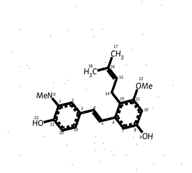 CNc1cc(/C=C/c2cc(O)cc(OC)c2CC=C(C)C)ccc1O